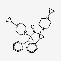 O=C(C1(N2CCN(C3CC3)CC2)CC1c1ccccc1)C1(N2CCN(C3CC3)CC2)CC1c1ccccc1